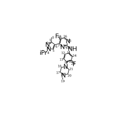 Cc1nn(C(C)C)cc1-c1nc(Nc2ccc(N3CCN(C)CC3)c(F)c2)ncc1F